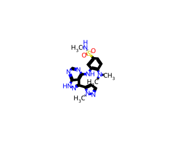 CNS(=O)(=O)c1ccc(N(C)C)c(Nc2ncnc3[nH]nc(-c4ccnn4C)c23)c1